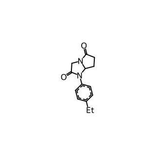 CCc1ccc(N2C(=O)CN3C(=O)CCC32)cc1